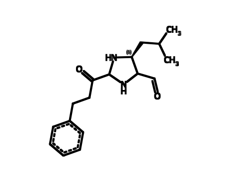 CC(C)C[C@@H]1NC(C(=O)CCc2ccccc2)NC1C=O